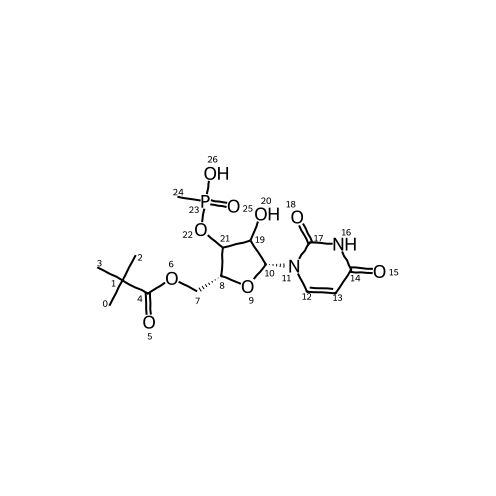 CC(C)(C)C(=O)OC[C@H]1O[C@@H](n2ccc(=O)[nH]c2=O)C(O)C1OP(C)(=O)O